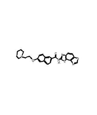 O=C(Nc1nc2ccc3scnc3c2s1)c1ccc2cc(OCCN3CCCCC3)ccc2c1